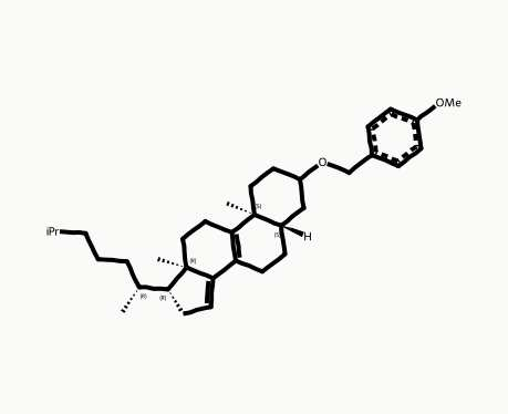 COc1ccc(COC2CC[C@]3(C)C4=C(CC[C@H]3C2)C2=CC[C@H]([C@H](C)CCCC(C)C)[C@@]2(C)CC4)cc1